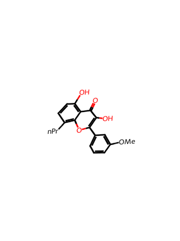 CCCc1ccc(O)c2c(=O)c(O)c(-c3cccc(OC)c3)oc12